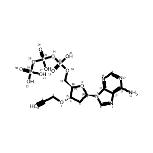 C#CCO[C@H]1C[C@H](n2cnc3c(N)ncnc32)O[C@@H]1COP(=O)(O)OP(=O)(O)OP(=O)(O)O